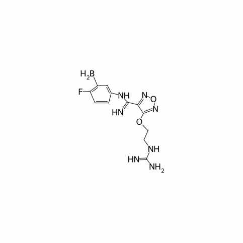 Bc1cc(NC(=N)c2nonc2OCCNC(=N)N)ccc1F